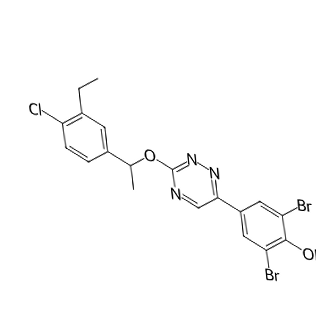 CCc1cc(C(C)Oc2ncc(-c3cc(Br)c(O)c(Br)c3)nn2)ccc1Cl